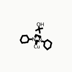 CC(C)(C)O.[Cu]=[c]1n(C2CCCCC2)ccn1C1CCCCC1